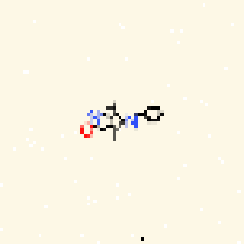 CN1C[C@H]2CC(N(C)Cc3ccccc3)C[C@H]2CC1=O